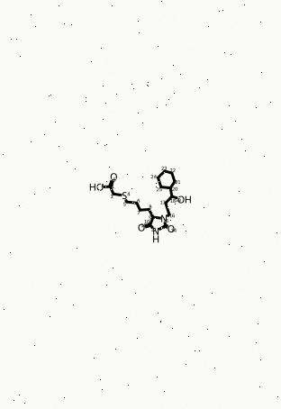 O=C(O)CSCCCCC1C(=O)NC(=O)N1CCC(O)C1CCCCC1